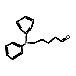 O=CCCCCP(c1ccccc1)c1ccccc1